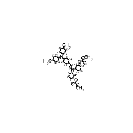 COC(=O)Oc1cccc(N(N=Cc2ccc(N(c3ccc(C)cc3)c3ccc(C)cc3)cc2)c2cccc(OC(=O)OC)c2)c1